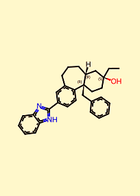 CC[C@]1(O)CC[C@]2(Cc3ccccc3)c3ccc(-c4nc5ccccc5[nH]4)cc3CCC[C@@H]2C1